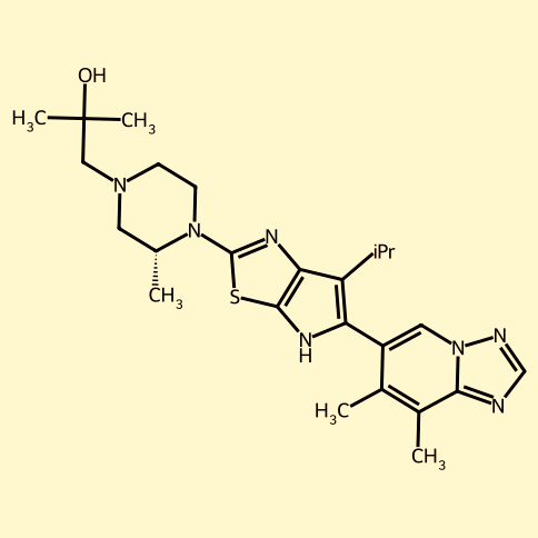 Cc1c(-c2[nH]c3sc(N4CCN(CC(C)(C)O)C[C@H]4C)nc3c2C(C)C)cn2ncnc2c1C